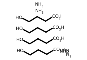 N.N.N.N.O=C(O)CCCO.O=C(O)CCCO.O=C(O)CCCO.O=C(O)CCCO